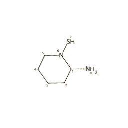 N[C@@H]1CCCCN1S